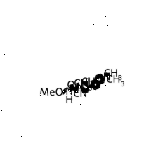 COCCNC(=O)/C(C#N)=C(\C)c1ccc(-c2ccc3cc(N(C)C)ccc3c2)n1C